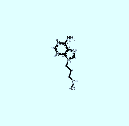 CCOCCCn1cnc2c(N)ncnc21